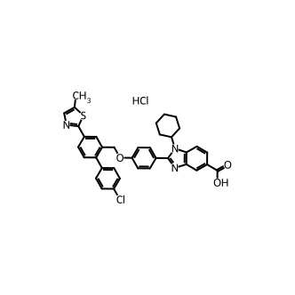 Cc1cnc(-c2ccc(-c3ccc(Cl)cc3)c(COc3ccc(-c4nc5cc(C(=O)O)ccc5n4C4CCCCC4)cc3)c2)s1.Cl